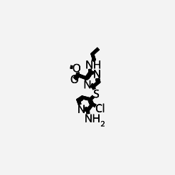 CCCNc1ncc(Sc2ccnc(N)c2Cl)nc1C(=O)OC